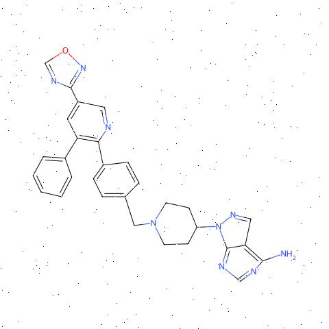 Nc1ncnc2c1cnn2C1CCN(Cc2ccc(-c3ncc(-c4ncon4)cc3-c3ccccc3)cc2)CC1